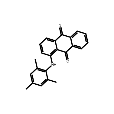 Cc1cc(C)c(Nc2cccc3c2C(=O)c2ccccc2C3=O)c(C)c1